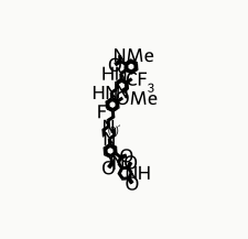 CNC(=O)c1ccccc1Nc1cc(Nc2cc(F)c(CCN3CCN(c4ccc5c(c4)C(=O)N(C4CCC(=O)NC4=O)C5=O)C[C@H]3C)cc2OC)ncc1C(F)(F)F